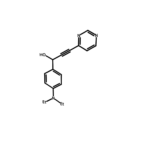 CCN(CC)c1ccc(C(O)C#Cc2ccncn2)cc1